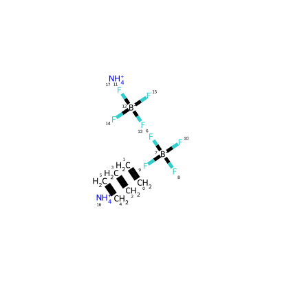 C=C.C=C.C=C.F[B-](F)(F)F.F[B-](F)(F)F.[NH4+].[NH4+]